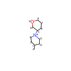 CC1CCN(C2CCCOC2)CC1